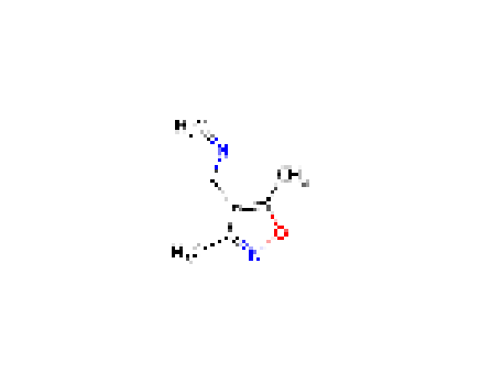 C=NCc1c(C)noc1C